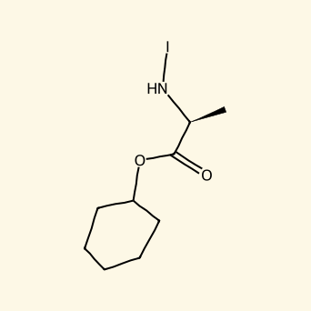 C[C@H](NI)C(=O)OC1CCCCC1